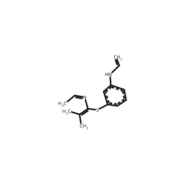 C=CNc1cccc(SC(/N=C\C)=C(C)C)c1